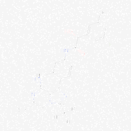 [2H]C([2H])([2H])c1nc(-c2ccc(NC(=O)C(O)c3cc(F)cc(C(F)(F)F)c3)cc2C)c2c(N)nc(C)cn12